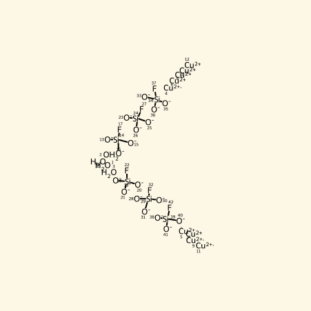 O.O.O.O.[Cu+2].[Cu+2].[Cu+2].[Cu+2].[Cu+2].[Cu+2].[Cu+2].[Cu+2].[Cu+2].[O-][Si]([O-])([O-])F.[O-][Si]([O-])([O-])F.[O-][Si]([O-])([O-])F.[O-][Si]([O-])([O-])F.[O-][Si]([O-])([O-])F.[O-][Si]([O-])([O-])F